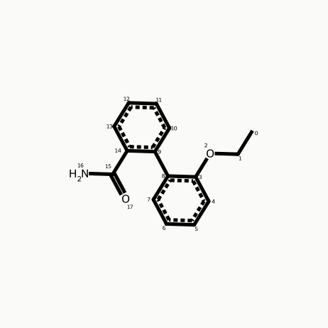 CCOc1ccccc1-c1ccccc1C(N)=O